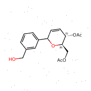 CC(=O)OC[C@H]1OC(c2cccc(CO)c2)C=C[C@@H]1OC(C)=O